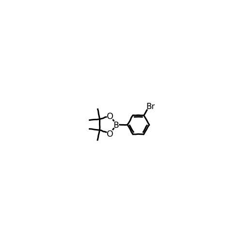 CC1(C)OB(c2cccc(Br)c2)OC1(C)C